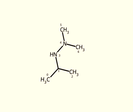 CC(C)NN(C)C